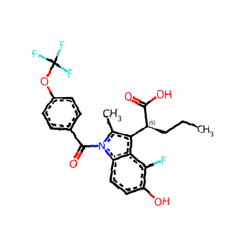 CCC[C@H](C(=O)O)c1c(C)n(C(=O)c2ccc(OC(F)(F)F)cc2)c2ccc(O)c(F)c12